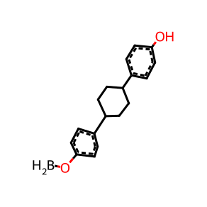 BOc1ccc(C2CCC(c3ccc(O)cc3)CC2)cc1